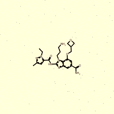 CCn1nc(C)cc1C(=O)Nc1nc2cc(C(N)=O)cc(OCC3COC3)c2n1CCCN